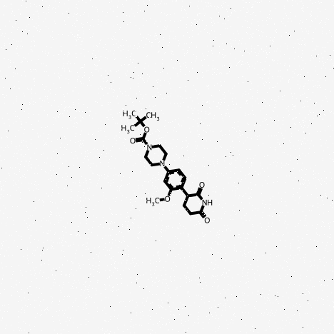 COc1cc(N2CCN(C(=O)OC(C)(C)C)CC2)ccc1C1CCC(=O)NC1=O